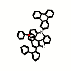 c1ccc(-c2ccc(N(c3ccc4c5ccccc5c5ccccc5c4c3)c3cccc4oc5c(-c6ccccc6-c6ccccc6)cc6ccccc6c5c34)cc2)cc1